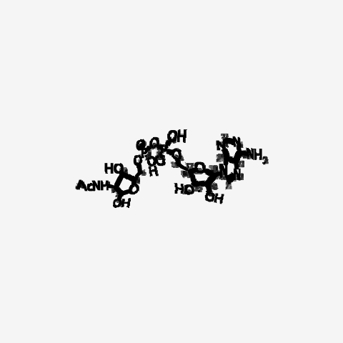 CC(=O)N[C@@H]1C(O)O[C@H](COP(=O)(O)OP(=O)(O)OC[C@H]2O[C@@H](n3cnc4c(N)ncnc43)C(O)C2O)C1O